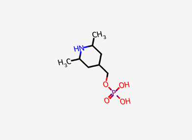 CC1CC(COP(=O)(O)O)CC(C)N1